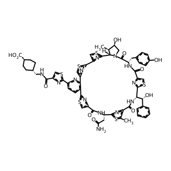 Cc1sc2nc1C(=O)N[C@@H]([C@H](O)c1ccccc1)c1nc(cs1)C(=O)N[C@@H](Cc1ccc(O)cc1)C(=O)N1C[C@H](O)[C@H](C)[C@H]1c1nc(cs1)-c1nc(cs1)-c1nc(-c3nc(C(=O)NC[C@H]4CC[C@H](C(=O)O)CC4)cs3)ccc1-c1nc(cs1)C(=O)N[C@H]2CC(N)=O